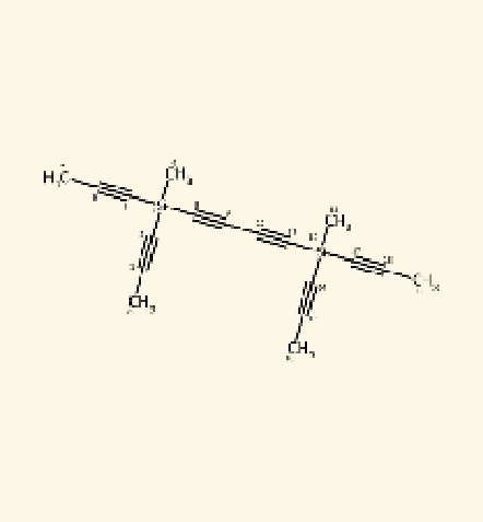 CC#C[Si](C)(C#CC)C#CC#C[Si](C)(C#CC)C#CC